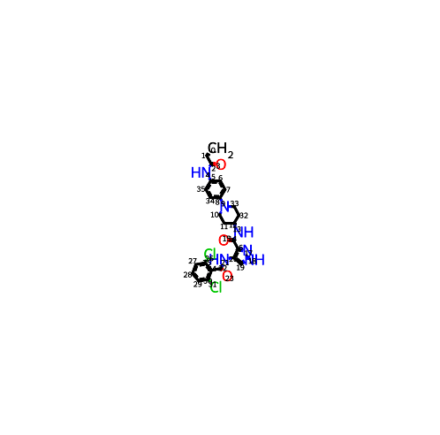 C=CC(=O)Nc1ccc(N2CCC(NC(=O)c3n[nH]cc3NC(=O)c3c(Cl)cccc3Cl)CC2)cc1